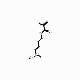 C=C(C)C(=O)OCCCCN(C)OC(C)=O